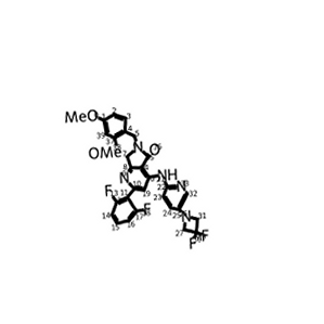 COc1ccc(CN2Cc3nc(-c4c(F)cccc4F)cc(Nc4ccc(N5CC(F)(F)C5)cn4)c3C2=O)c(OC)c1